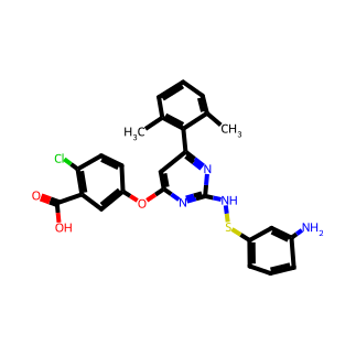 Cc1cccc(C)c1-c1cc(Oc2ccc(Cl)c(C(=O)O)c2)nc(NSc2cccc(N)c2)n1